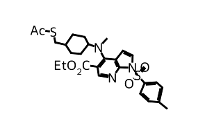 CCOC(=O)c1cnc2c(ccn2S(=O)(=O)c2ccc(C)cc2)c1N(C)C1CCC(CSC(C)=O)CC1